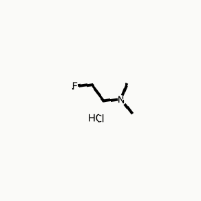 CN(C)CCF.Cl